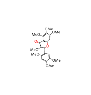 COc1cc(OC)c(-c2oc3cc(OC)c(OC)c(OC)c3c(=O)c2OC)cc1OC